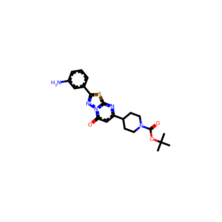 CC(C)(C)OC(=O)N1CCC(c2cc(=O)n3nc(-c4cccc(N)c4)sc3n2)CC1